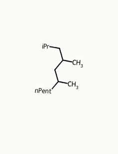 [CH2]C(C)CC(C)CC(C)CCC[CH]C